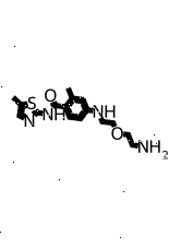 Cc1cnc(NC(=O)c2ccc(NCCOCCN)cc2C)s1